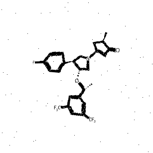 C[C@@H]1CC(N2C[C@H](O[C@H](C)c3cc(C(F)(F)F)cc(C(F)(F)F)c3)[C@@H](c3ccc(F)cc3)C2)=CC1=O